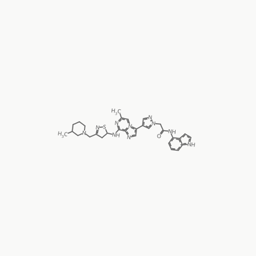 Cc1cn2c(-c3cnn(CC(=O)Nc4cccc5[nH]ccc45)c3)cnc2c(NC2CC(CN3CCCC(C)C3)=NS2)n1